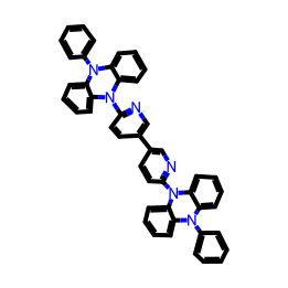 c1ccc(N2c3ccccc3N(c3ccc(-c4ccc(N5c6ccccc6N(c6ccccc6)c6ccccc65)nc4)cn3)c3ccccc32)cc1